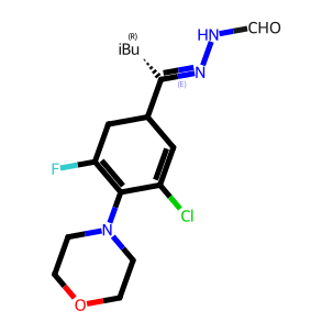 CC[C@@H](C)/C(=N\NC=O)C1C=C(Cl)C(N2CCOCC2)=C(F)C1